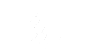 CCOC(=O)Cn1c(=O)n(Cc2ccc(Cl)cc2F)c(=O)c2ccccc21